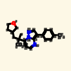 CCOC(=O)C(C)(CC1CCOC1)c1ccnc2c(-c3ccc(C(F)(F)F)cc3)cnn12